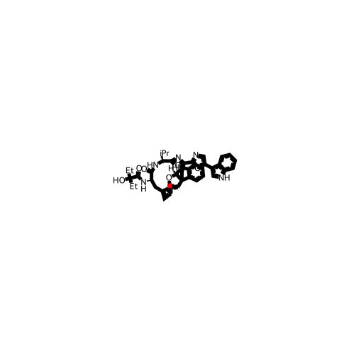 CCC(O)(CC)C(=O)N[C@H]1Cc2ccc3c(c2)C2(c4ccccc4N[C@H]2O3)c2oc(nc2-c2ncc(-c3c[nH]c4ccccc34)o2)[C@H](C(C)C)NC1=O